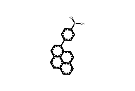 OB(O)c1ccc(-c2ccc3ccc4cccc5ccc2c3c45)cc1